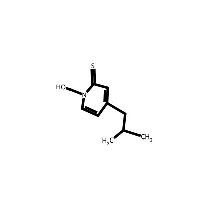 CC(C)Cc1ccn(O)c(=S)c1